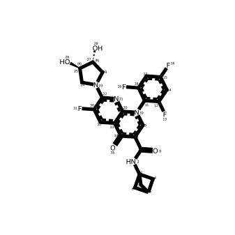 O=C(NC12CC(C1)C2)c1cn(-c2c(F)cc(F)cc2F)c2nc(N3C[C@@H](O)[C@H](O)C3)c(F)cc2c1=O